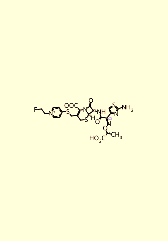 C[C@H](O/N=C(\C(=O)N[C@@H]1C(=O)N2C(C(=O)[O-])=C(CSc3cc[n+](CCF)cc3)CS[C@H]12)c1csc(N)n1)C(=O)O